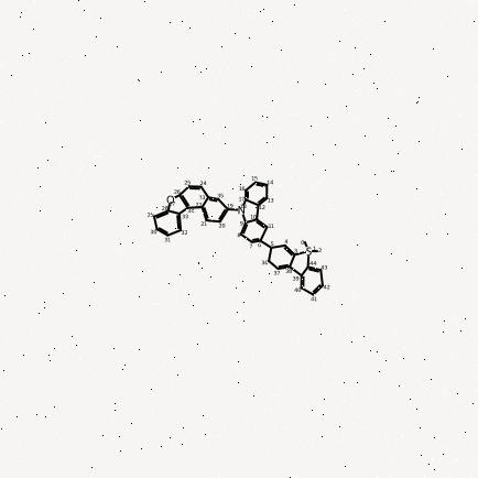 CS1(C)C2=CC(c3ccc4c(c3)c3ccccc3n4-c3ccc4c(ccc5oc6ccccc6c54)c3)CC=C2c2ccccc21